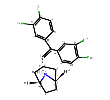 CN1[C@@H]2CC[C@H]1C[C@@H](C=C(c1ccc(F)c(F)c1)c1ccc(F)c(F)c1)C2